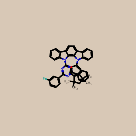 CC1(C)CC(C)(C)c2cc(-n3c4ccccc4c4ccc5c6ccccc6n(-c6nc(-c7ccccc7)nc(-c7cccc(F)c7)n6)c5c43)ccc21